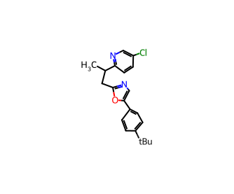 CC(Cc1ncc(-c2ccc(C(C)(C)C)cc2)o1)c1ccc(Cl)cn1